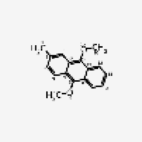 [CH2]c1ccc2c(OC)c3ccccc3c(OC)c2c1